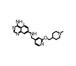 CN1CCC(COc2cc(CNc3ccc4c(N)ncnc4c3)ccn2)CC1